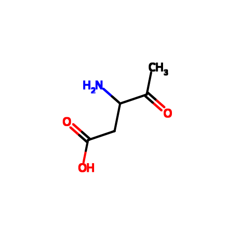 CC(=O)C(N)CC(=O)O